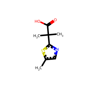 [CH2]c1cnc(C(C)(C)C(=O)O)s1